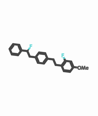 COc1ccc(CCc2ccc(C[C@H](F)c3ccccc3)cc2)c(F)c1